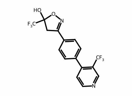 OC1(C(F)(F)F)CC(c2ccc(-c3ccncc3C(F)(F)F)cc2)=NO1